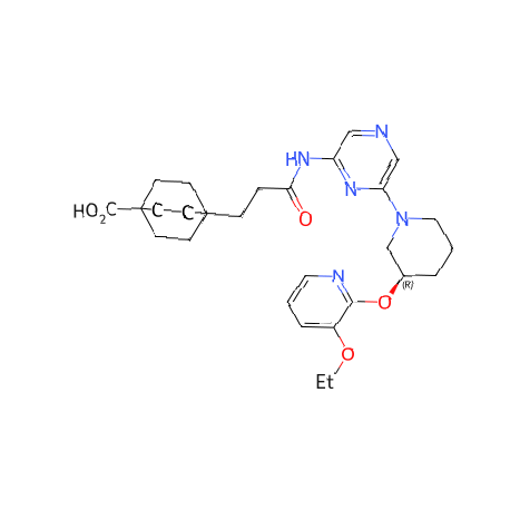 CCOc1cccnc1O[C@@H]1CCCN(c2cncc(NC(=O)CCC34CCC(C(=O)O)(CC3)CC4)n2)C1